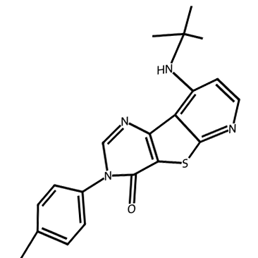 Cc1ccc(-n2cnc3c(sc4nccc(NC(C)(C)C)c43)c2=O)cc1